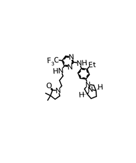 CCc1cc(N2C[C@H]3CC[C@@H](C2)N3C)ccc1Nc1ncc(C(F)(F)F)c(NCCCN2CCC(C)(C)C2=O)n1